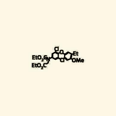 CCOC(=O)CN(C(=O)OCC)c1cc(Cl)c(Oc2ccc(OC)c(CC)c2)c(Cl)c1